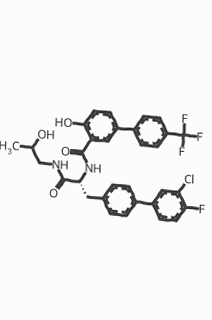 CC(O)CNC(=O)[C@@H](Cc1ccc(-c2ccc(F)c(Cl)c2)cc1)NC(=O)c1cc(-c2ccc(C(F)(F)F)cc2)ccc1O